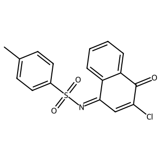 Cc1ccc(S(=O)(=O)/N=C2/C=C(Cl)C(=O)c3ccccc32)cc1